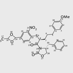 COc1ccc(CCC[C@H](Sc2ccc(C3OC(C)O3)cc2[N+](=O)[O-])C(=O)N2C(=O)OC[C@H]2Cc2ccccc2)cc1